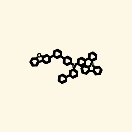 c1ccc(-c2cccc(N(c3ccc(-c4cccc(-c5ccc6c(c5)oc5ccccc56)c4)cc3)c3ccc(-c4ccccc4-n4c5ccccc5c5ccccc54)cc3)c2)cc1